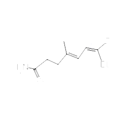 CC/C(F)=C\C=C(/C)CCC(N)=O